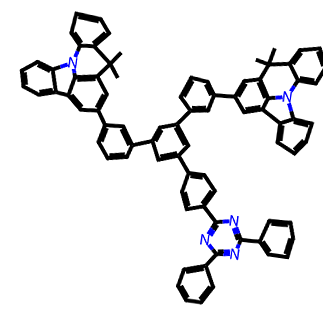 CC1(C)c2ccccc2-n2c3ccccc3c3cc(-c4cccc(-c5cc(-c6ccc(-c7nc(-c8ccccc8)nc(-c8ccccc8)n7)cc6)cc(-c6cccc(-c7cc8c9c(c7)c7ccccc7n9-c7ccccc7C8(C)C)c6)c5)c4)cc1c32